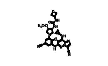 CO[C@H]1CN(c2cc(C#N)cc(Nc3nc(NC4CC4)c4ncc(C#N)n4n3)c2Cl)C[C@H]1NC(=O)NC1COC1